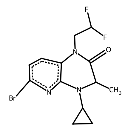 CC1C(=O)N(CC(F)F)c2ccc(Br)nc2N1C1CC1